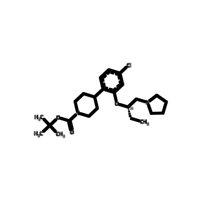 CC[C@@H](CN1CCCC1)Oc1cc(Cl)ccc1C1CCN(C(=O)OC(C)(C)C)CC1